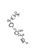 COc1c(CNC(=O)c2cc(C3CC3)nn2C)cccc1OCc1ccc(C(=O)N2CCN(C(=O)N(C)C)CC2)cc1